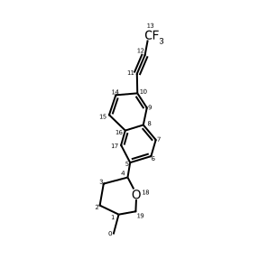 CC1CCC(c2ccc3cc(C#CC(F)(F)F)ccc3c2)OC1